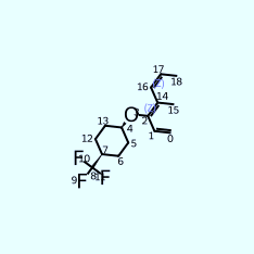 C=C/C(O[C@H]1CC[C@@H](C(F)(F)F)CC1)=C(C)/C=C\C